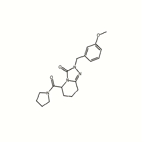 COc1cccc(Cn2nc3n(c2=O)C(C(=O)N2CCCC2)CCC3)c1